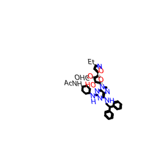 CCc1cc([C@H]2O[C@@H](n3cnc4c(NCC(c5ccccc5)c5ccccc5)nc(NC5CCC(NC(C)=O)CC5)nc43)[C@H](O)[C@@H]2OC=O)on1